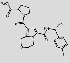 COC(=O)C1CCCN1C(=O)c1cc(C(=O)N[C@@H](c2ccc(F)cc2)C(C)C)n2c1COCC2